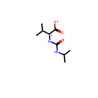 CC(C)NC(=O)N[C@H](C(=O)O)C(C)C